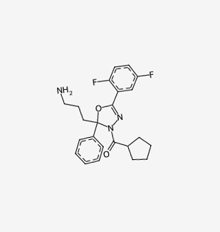 NCCCC1(c2ccccc2)OC(c2cc(F)ccc2F)=NN1C(=O)C1CCCC1